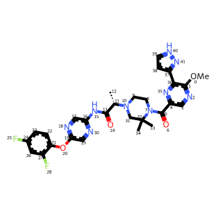 COc1ncc(C(=O)N2CCN([C@@H](C)C(=O)Nc3cnc(Oc4ccc(F)cc4F)cn3)CC2(C)C)nc1-c1cc[nH]n1